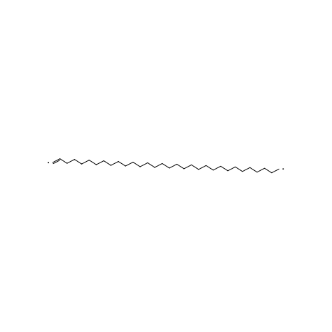 [CH]=CCCCCCCCCCCCCCCCCCCCCCCCCCCCCC[CH2]